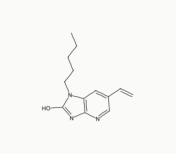 C=Cc1cnc2nc(O)n(CCCCC)c2c1